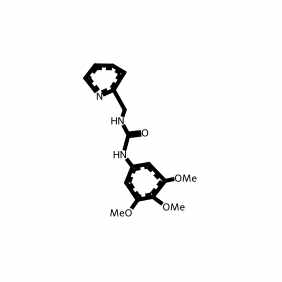 COc1cc(NC(=O)NCc2ccccn2)cc(OC)c1OC